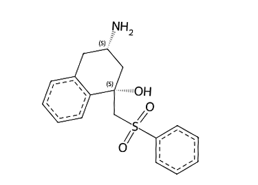 N[C@H]1Cc2ccccc2[C@](O)(CS(=O)(=O)c2ccccc2)C1